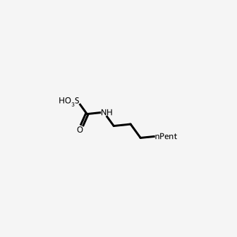 CCCCCCCCNC(=O)S(=O)(=O)O